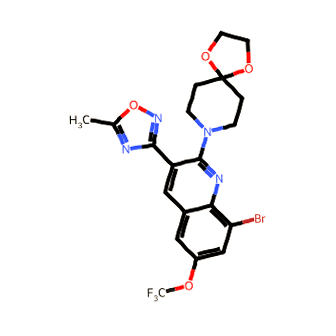 Cc1nc(-c2cc3cc(OC(F)(F)F)cc(Br)c3nc2N2CCC3(CC2)OCCO3)no1